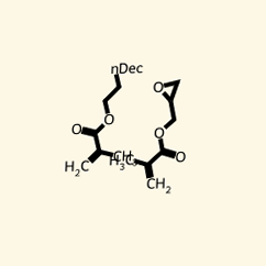 C=C(C)C(=O)OCC1CO1.C=C(C)C(=O)OCCCCCCCCCCCC